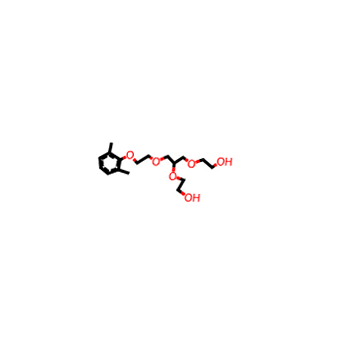 Cc1cccc(C)c1OCCOCC(COCCO)OCCO